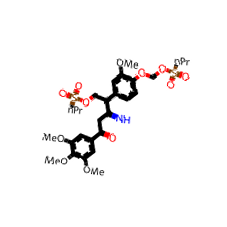 CCCS(=O)(=O)OCOc1ccc(C(COS(=O)(=O)CCC)C(=N)CC(=O)c2cc(OC)c(OC)c(OC)c2)cc1OC